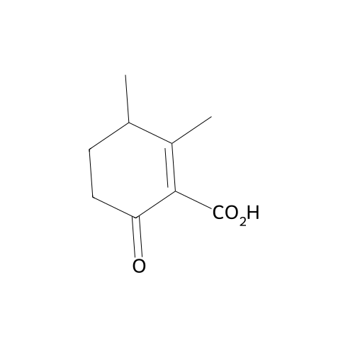 CC1=C(C(=O)O)C(=O)CCC1C